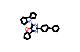 c1ccc(-c2ccc(-c3nc(-n4c5ccccc5c5ccccc54)c4oc5ccccc5c4n3)cc2)cc1